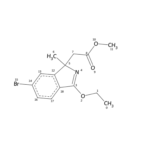 CCOC1=NC(C)(CC(=O)OC)c2cc(Br)ccc21